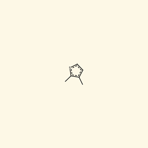 Cc1c[c]sc1C